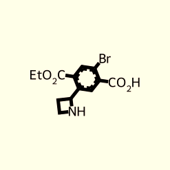 CCOC(=O)c1cc(Br)c(C(=O)O)cc1C1CCN1